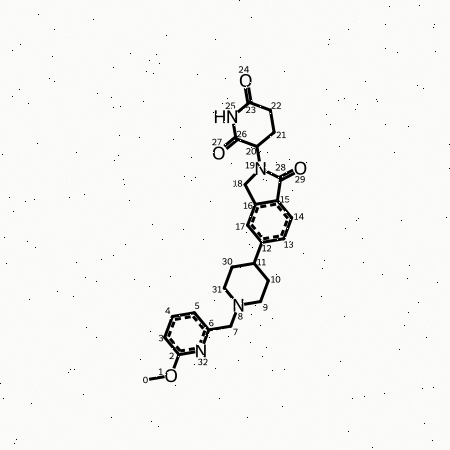 COc1cccc(CN2CCC(c3ccc4c(c3)CN(C3CCC(=O)NC3=O)C4=O)CC2)n1